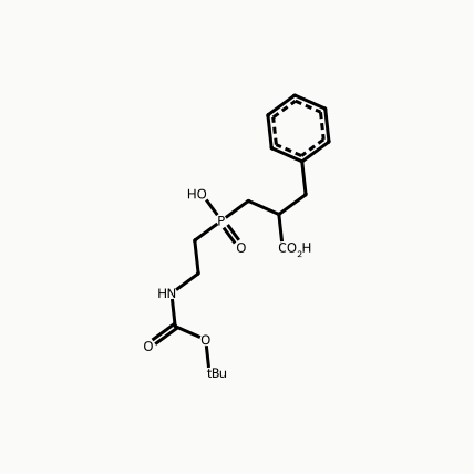 CC(C)(C)OC(=O)NCCP(=O)(O)CC(Cc1ccccc1)C(=O)O